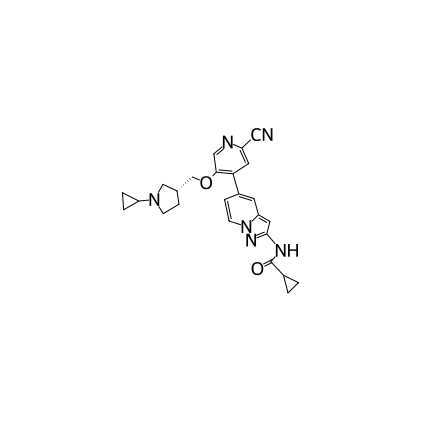 N#Cc1cc(-c2ccn3nc(NC(=O)C4CC4)cc3c2)c(OC[C@@H]2CCN(C3CC3)C2)cn1